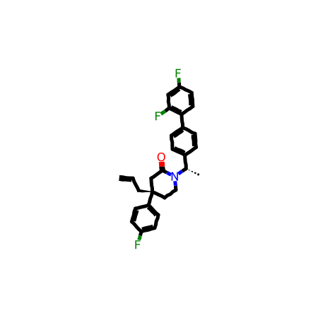 C=CC[C@]1(c2ccc(F)cc2)CCN([C@@H](C)c2ccc(-c3ccc(F)cc3F)cc2)C(=O)C1